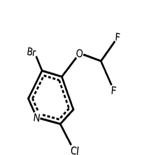 FC(F)Oc1cc(Cl)ncc1Br